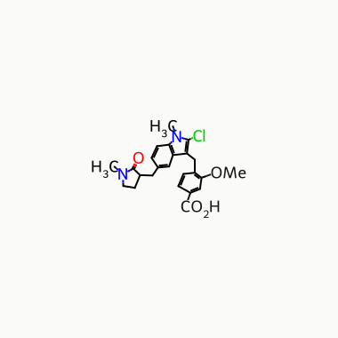 COc1cc(C(=O)O)ccc1Cc1c(Cl)n(C)c2ccc(CC3CCN(C)C3=O)cc12